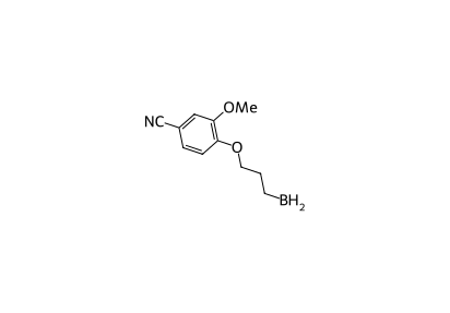 BCCCOc1ccc(C#N)cc1OC